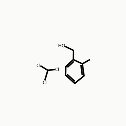 Cc1ccccc1CO.ClC(Cl)Cl